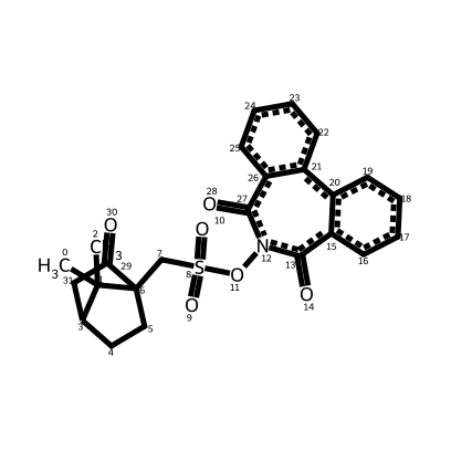 CC1(C)C2CCC1(CS(=O)(=O)On1c(=O)c3ccccc3c3ccccc3c1=O)C(=O)C2